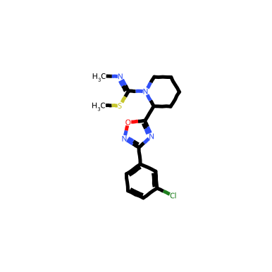 C/N=C(\SC)N1CCCCC1c1nc(-c2cccc(Cl)c2)no1